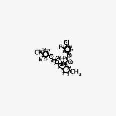 CC1CCC(CNC[C@H](O)COc2ccc(Cl)c(F)c2)C(NC(=O)COc2ccc(Cl)c(F)c2)C1